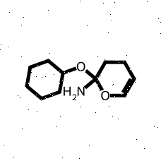 NC1(OC2CCCCC2)CCC=CO1